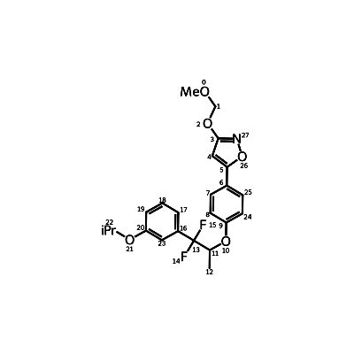 COCOc1cc(-c2ccc(OC(C)C(F)(F)c3cccc(OC(C)C)c3)cc2)on1